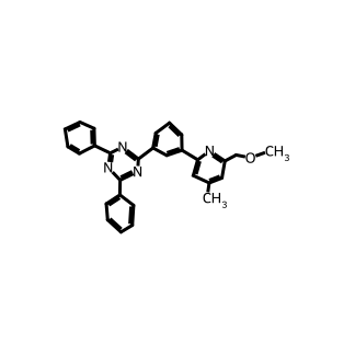 COCc1cc(C)cc(-c2cccc(-c3nc(-c4ccccc4)nc(-c4ccccc4)n3)c2)n1